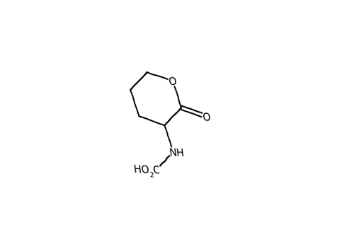 O=C(O)NC1CCCOC1=O